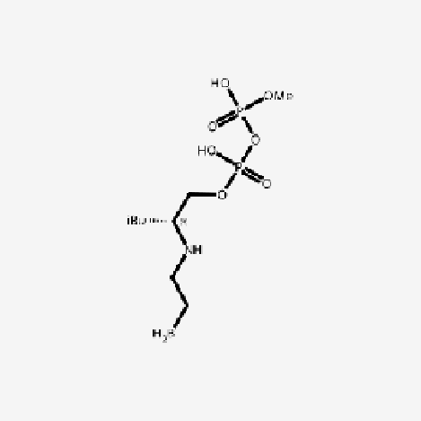 BCCN[C@@H](COP(=O)(O)OP(=O)(O)OC)C(C)CC